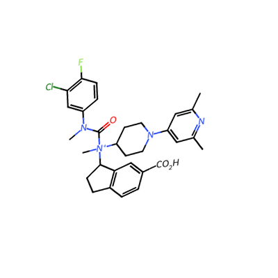 Cc1cc(N2CCC([N+](C)(C(=O)N(C)c3ccc(F)c(Cl)c3)C3CCc4ccc(C(=O)O)cc43)CC2)cc(C)n1